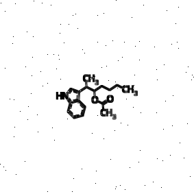 CCCCC(OC(C)=O)C(C)c1c[nH]c2ccccc12